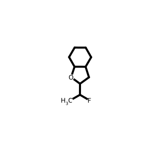 CC(F)C1CC2CCCCC2O1